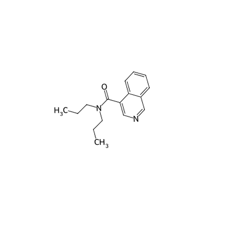 CCCN(CCC)C(=O)c1cncc2ccccc12